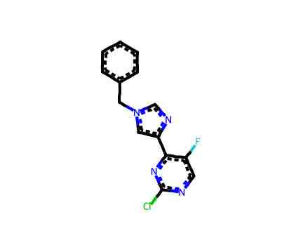 Fc1cnc(Cl)nc1-c1cn(Cc2ccccc2)cn1